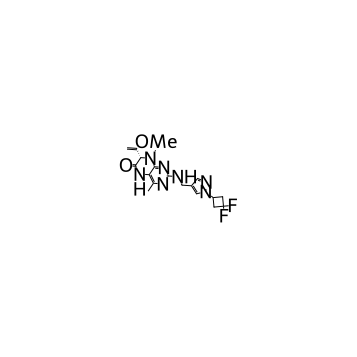 C=C(OC)[C@H]1C(=O)Nc2c(C)nc(NCc3cnn(C4CC(F)(F)C4)c3)nc2N1C